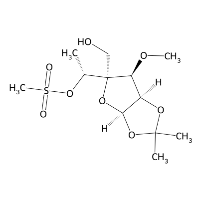 CO[C@H]1[C@H]2OC(C)(C)O[C@H]2O[C@@]1(CO)[C@@H](C)OS(C)(=O)=O